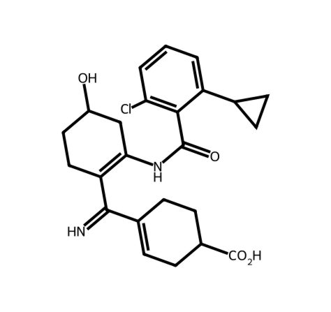 N=C(C1=CCC(C(=O)O)CC1)C1=C(NC(=O)c2c(Cl)cccc2C2CC2)CC(O)CC1